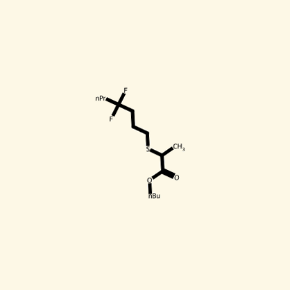 CCCCOC(=O)C(C)SCCCC(F)(F)CCC